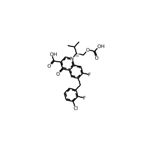 CC(C)[C@@H](COC(=O)O)n1cc(C(=O)O)c(=O)c2cc(Cc3cccc(Cl)c3F)c(F)cc21